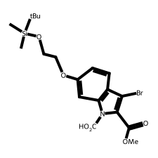 COC(=O)c1c(Br)c2ccc(OCCO[Si](C)(C)C(C)(C)C)cc2n1C(=O)O